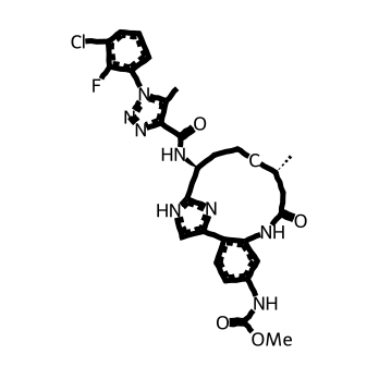 COC(=O)Nc1ccc2c(c1)NC(=O)C[C@@H](C)CCC[C@H](NC(=O)c1nnn(-c3cccc(Cl)c3F)c1C)c1nc-2c[nH]1